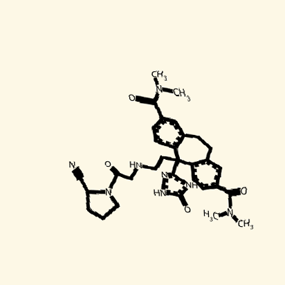 CN(C)C(=O)c1ccc2c(c1)CCc1cc(C(=O)N(C)C)ccc1C2(CCNCC(=O)N1CCCC1C#N)c1n[nH]c(=O)[nH]1